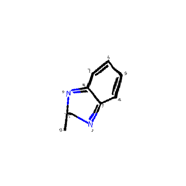 C[C]1N=c2ccccc2=N1